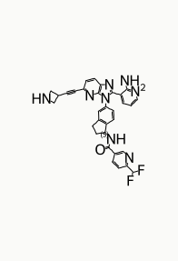 Nc1ncccc1-c1nc2ccc(C#CC3CNC3)nc2n1-c1ccc2c(c1)CC[C@@H]2NC(=O)c1ccc(C(F)F)nc1